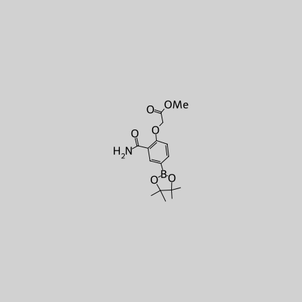 COC(=O)COc1ccc(B2OC(C)(C)C(C)(C)O2)cc1C(N)=O